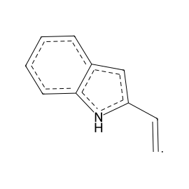 [CH]=Cc1cc2ccccc2[nH]1